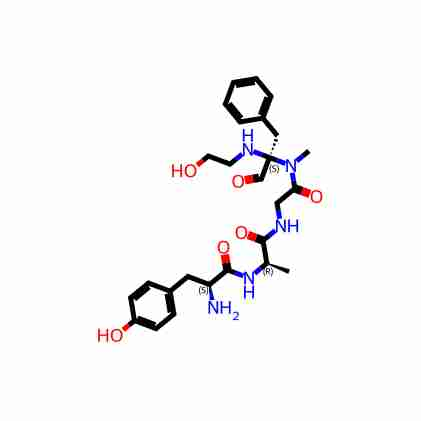 C[C@@H](NC(=O)[C@@H](N)Cc1ccc(O)cc1)C(=O)NCC(=O)N(C)[C@](C=O)(Cc1ccccc1)NCCO